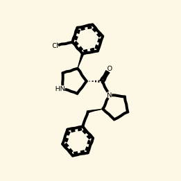 O=C([C@@H]1CNC[C@H]1c1ccccc1Cl)N1CCC[C@H]1Cc1ccccc1